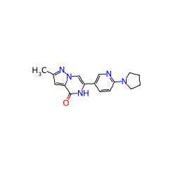 Cc1cc2c(=O)[nH]c(-c3ccc(N4CCCC4)nc3)cn2n1